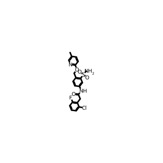 Cc1ccc(OCc2ccc(NC(=O)Cc3c(F)cccc3Cl)cc2S(N)(=O)=O)nc1